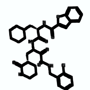 O=C(NCc1ccccc1Cl)C(=O)C(C[C@@H]1CCCNC1=O)NC(=O)[C@H](CC1CCCCC1)NC(=O)c1cc2ccccc2o1